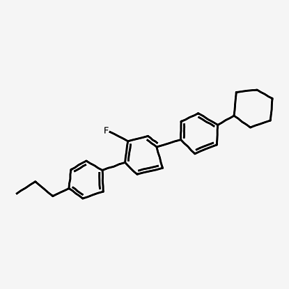 CCCc1ccc(-c2ccc(-c3ccc(C4CCCCC4)cc3)cc2F)cc1